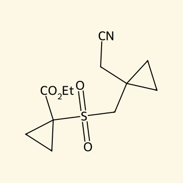 CCOC(=O)C1(S(=O)(=O)CC2(CC#N)CC2)CC1